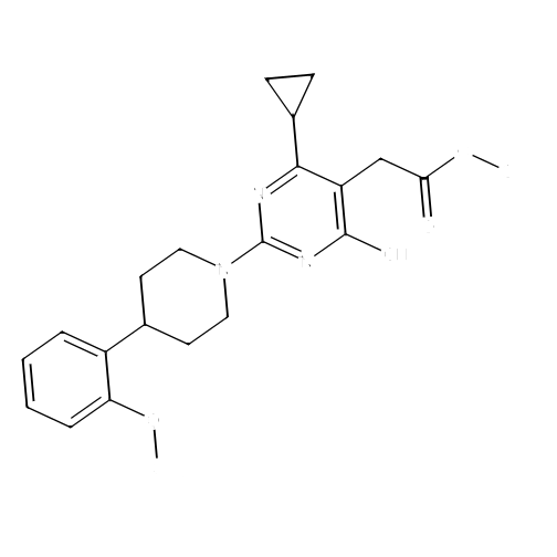 COC(=O)Cc1c(C)nc(N2CCC(c3ccccc3OC)CC2)nc1C1CC1